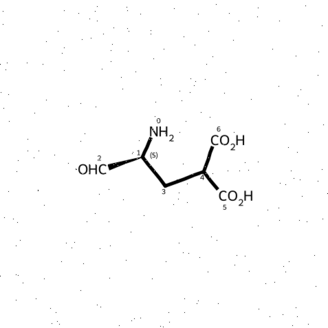 N[C@H]([C]=O)CC(C(=O)O)C(=O)O